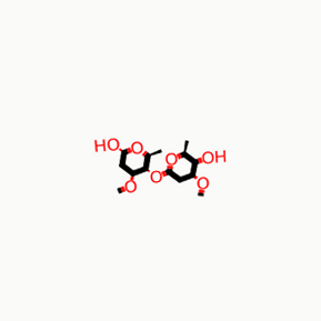 CO[C@H]1CC(O[C@H]2[C@H](C)O[C@@H](O)C[C@@H]2OC)O[C@@H](C)C1O